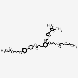 C=CCOCCC(=O)OCCCOc1ccc(CCC(=O)OC2CCC(c3ccc(OCCCOC(=O)C=C)cc3)CC2)cc1/N=C/c1ccc(-c2cc(C)c(C)s2)s1